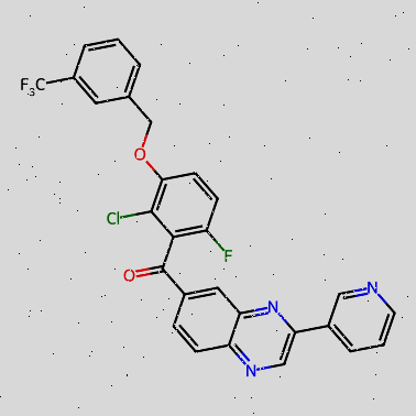 O=C(c1ccc2ncc(-c3cccnc3)nc2c1)c1c(F)ccc(OCc2cccc(C(F)(F)F)c2)c1Cl